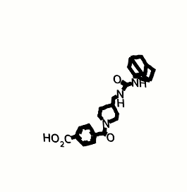 O=C(NCC1CCN(C(=O)c2ccc(C(=O)O)cc2)CC1)NC12CC3CC(CC(C3)C1)C2